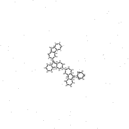 c1ccc2c(c1)sc1ccc(-n3c4ccccc4c4cc(-c5ccc6c(c5)c5ccccc5n6-c5ncncn5)ccc43)cc12